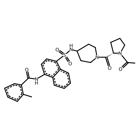 CC(=O)N1CCC[C@H]1C(=O)N1CCC(NS(=O)(=O)c2ccc(NC(=O)c3ccccc3C)c3ccccc23)CC1